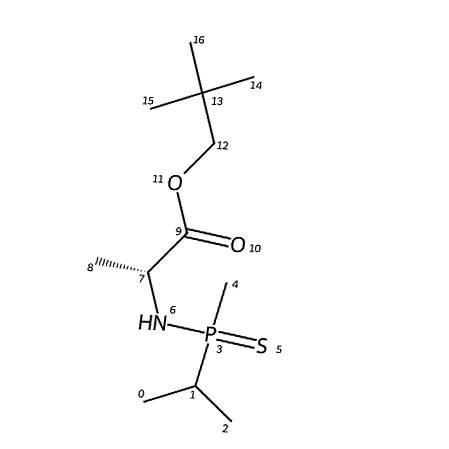 CC(C)P(C)(=S)N[C@H](C)C(=O)OCC(C)(C)C